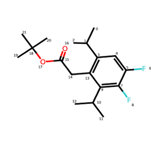 CC(C)c1cc(F)c(F)c(C(C)C)c1CC(=O)OC(C)(C)C